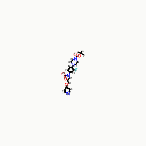 CC(C)(C)OC(=O)N1CCN(c2ccc(N3CC(COc4ccncc4)OC3=O)cc2F)CC1